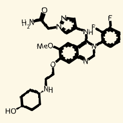 COc1cc2c(cc1OCCN[C@H]1CC[C@H](O)CC1)=NCN(c1cccc(F)c1F)C=2Nc1cnn(CC(N)=O)c1